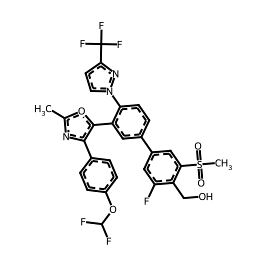 Cc1nc(-c2ccc(OC(F)F)cc2)c(-c2cc(-c3cc(F)c(CO)c(S(C)(=O)=O)c3)ccc2-n2ccc(C(F)(F)F)n2)o1